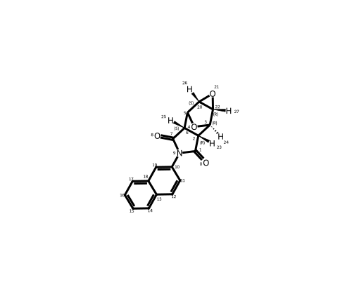 O=C1[C@H]2[C@H]3OC([C@H]2C(=O)N1c1ccc2ccccc2c1)[C@@H]1O[C@H]31